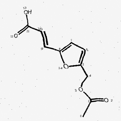 CC(=O)OCc1ccc(C=CC(=O)O)o1